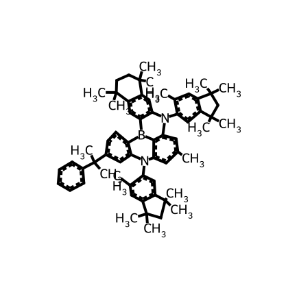 Cc1cc2c3c(c1)N(c1cc4c(cc1C)C(C)(C)CC4(C)C)c1cc4c(cc1B3c1ccc(C(C)(C)c3ccccc3)cc1N2c1cc2c(cc1C)C(C)(C)CC2(C)C)C(C)(C)CCC4(C)C